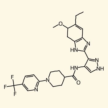 CCC1=Cc2nc(-c3n[nH]cc3NC(=O)C3CCN(c4ccc(C(F)(F)F)cn4)CC3)[nH]c2CC1OC